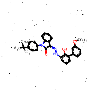 COC(C)(c1ccc(N2C(=O)C(=NNc3cccc(-c4cccc(OC(=O)O)c4)c3O)c3ccccc32)cc1)C(F)(F)F